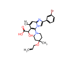 C=CCOC1(C)CCN(c2c(C(O)C(=O)O)c(C)cc3nc(-c4cccc(Br)c4)cn23)CC1